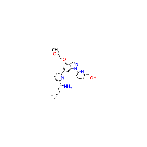 CCC[C@H](N)c1cccc(-c2cc(OCCOC)c3cnn(-c4cccc(CO)n4)c3c2)n1